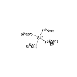 CCCCC[As+](CCCCC)(CCCCC)CCCCC.[Br-]